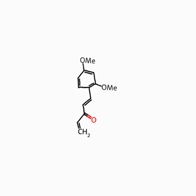 C=CC(=O)C=Cc1ccc(OC)cc1OC